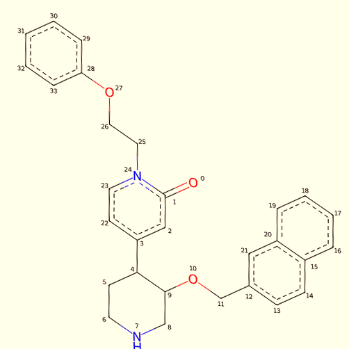 O=c1cc(C2CCNCC2OCc2ccc3ccccc3c2)ccn1CCOc1ccccc1